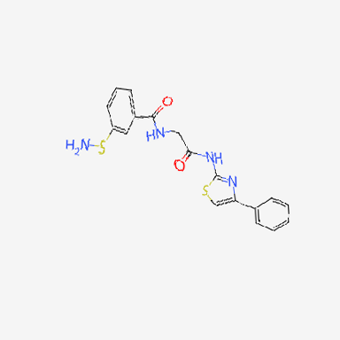 NSc1cccc(C(=O)NCC(=O)Nc2nc(-c3ccccc3)cs2)c1